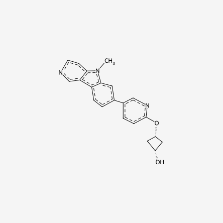 Cn1c2ccncc2c2ccc(-c3ccc(O[C@H]4C[C@@H](O)C4)nc3)cc21